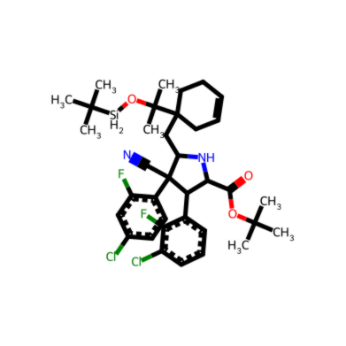 CC(C)(C)OC(=O)C1NC(CC2(C(C)(C)O[SiH2]C(C)(C)C)CC=CCC2)C(C#N)(c2ccc(Cl)cc2F)C1c1cccc(Cl)c1F